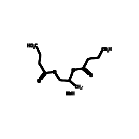 [CH2]C(COC(=O)CCC(=O)O)OC(=O)CCC(=O)O.[NaH]